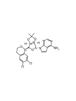 CC1(C)O[C@@H]2[C@H](O1)C([C@@H]1OCCc3cc(Cl)c(Cl)cc31)O[C@H]2n1ccc2c(N)ncnc21